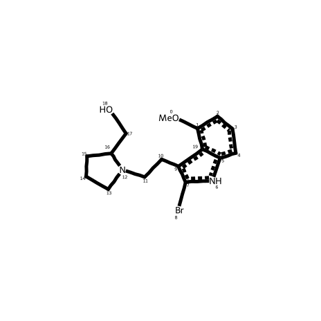 COc1cccc2[nH]c(Br)c(CCN3CCCC3CO)c12